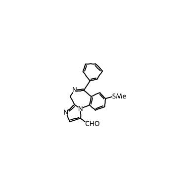 CSc1ccc2c(c1)C(c1ccccc1)=NCc1ncc(C=O)n1-2